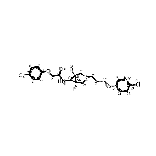 O=C(COc1ccc(Cl)cc1)NC1[C@H]2CN(CCCOc3ccc(Cl)nc3)C[C@@H]12